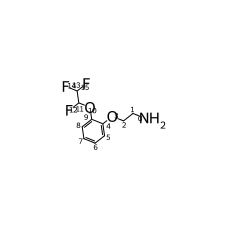 NCCOc1ccccc1OC(F)C(F)F